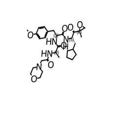 COc1ccc(C[C@H](NC(=O)[C@@H](C)NC(=O)CN2CCOCC2)C(=O)N[C@@H](CC2CCCC2)C(=O)[C@@]2(C)CO2)cc1